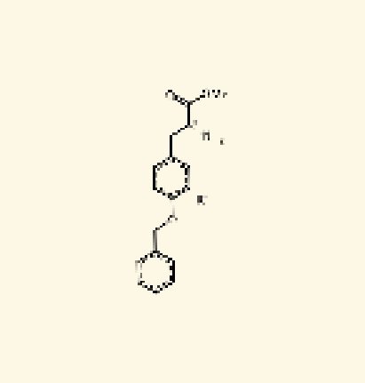 COC(=O)[C@H](N)Cc1ccc(OCc2ccccc2)cc1.Cl